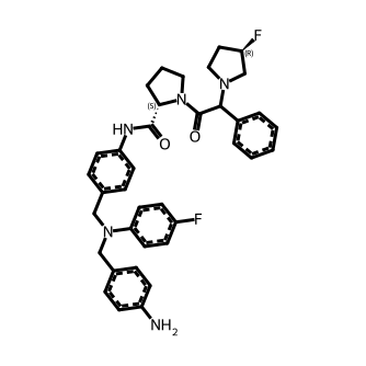 Nc1ccc(CN(Cc2ccc(NC(=O)[C@@H]3CCCN3C(=O)C(c3ccccc3)N3CC[C@@H](F)C3)cc2)c2ccc(F)cc2)cc1